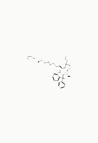 CCC[C@@](O)(C(=O)O)[C@H](/C=C/CCCCCNC(=O)OCC[Si](C)(C)C)C(=O)N1C(=S)OC(c2ccccc2)(c2ccccc2)[C@@H]1C(C)C